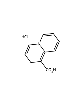 Cl.O=C(O)C1=C2C=CC=CN2C=CC1